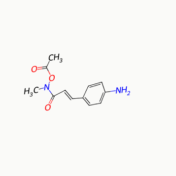 CC(=O)ON(C)C(=O)C=Cc1ccc(N)cc1